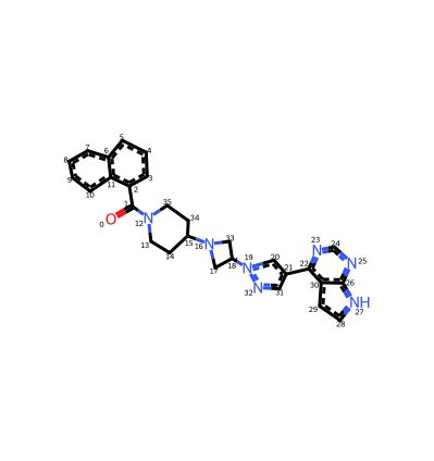 O=C(c1cccc2ccccc12)N1CCC(N2C[C](n3cc(-c4ncnc5[nH]ccc45)cn3)C2)CC1